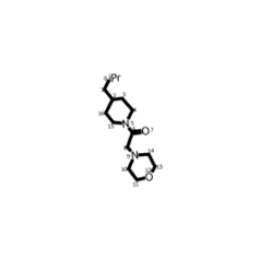 CC(C)CC1CCN(C(=O)CN2CCOCC2)CC1